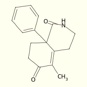 CC1=C2CCNC(=O)C2(c2ccccc2)CCC1=O